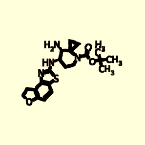 CC(C)(C)OC(=O)N1CC[C@@H](Nc2nc3c4c(ccc3s2)OCC4)[C@@H](N)C12CC2